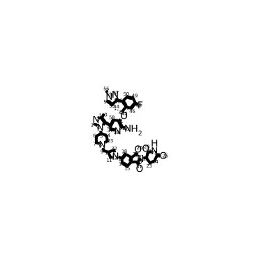 Cc1ncn(C2CCN(CC3CN(c4ccc5c(c4)C(=O)N(C4CCC(=O)NC4=O)C5=O)C3)CC2)c1-c1cnc(N)c(O[C@H](C)c2cc(F)ccc2-c2ccn(C)n2)c1